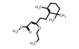 CCCOC(=CC(=O)OC)CCC1=C(C)CCCC1(C)C